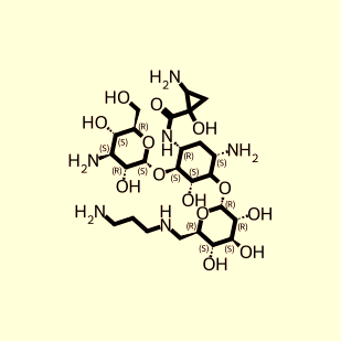 NCCCNC[C@H]1O[C@H](OC2[C@@H](N)C[C@@H](NC(=O)C3(O)CC3N)[C@H](O[C@H]3O[C@H](CO)[C@@H](O)[C@H](N)[C@H]3O)[C@H]2O)[C@H](O)[C@@H](O)[C@@H]1O